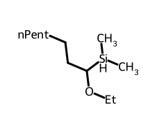 CCCCCCCC(OCC)[SiH](C)C